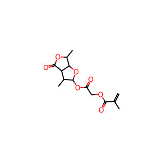 C=C(C)C(=O)OCC(=O)OC1OC2C(C)OC(=O)C2C1C